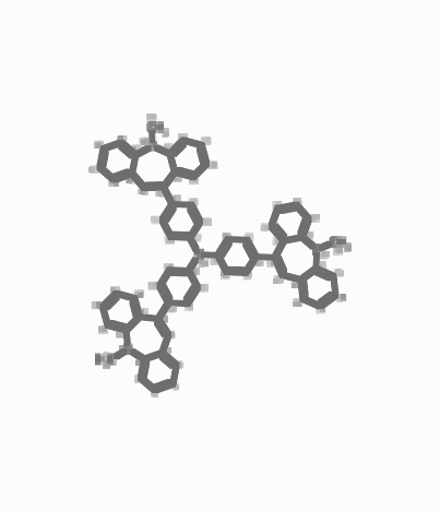 CP1c2ccccc2C=C(c2ccc(N(c3ccc(C4=Cc5ccccc5P(C)c5ccccc54)cc3)c3ccc(C4=Cc5ccccc5P(C)c5ccccc54)cc3)cc2)c2ccccc21